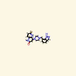 Cn1c(=O)cc(N2CCN(Cc3cccc4cn[nH]c34)CC2)c2nc(Br)ccc21